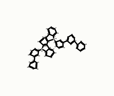 c1ccc(-c2cccc(-c3cccc(-n4c5ccccc5c5ccc6c(c7ccccc7n6-c6cccc(-c7ccccc7)c6)c54)c3)c2)cc1